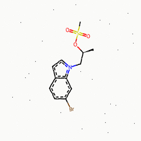 C[C@@H](Cn1ccc2ccc(Br)cc21)OS(C)(=O)=O